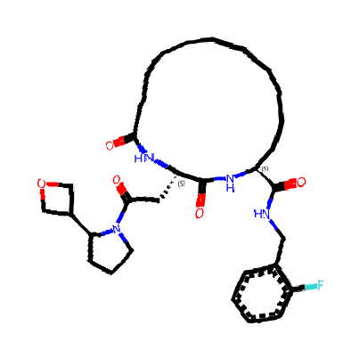 O=C1CCCCCCCCCC[C@@H](C(=O)NCc2ccccc2F)NC(=O)[C@H](CC(=O)N2CCCC2C2COC2)N1